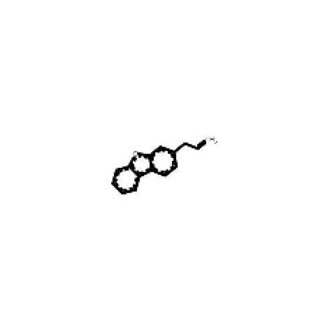 C=CCc1ccc2c(c1)oc1ccccc12